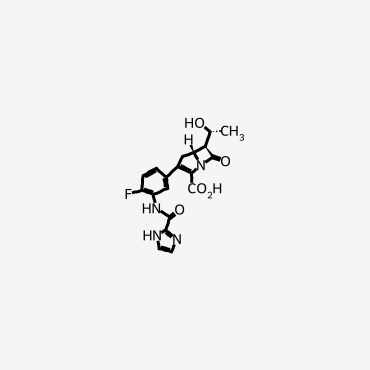 C[C@@H](O)[C@H]1C(=O)N2C(C(=O)O)=C(c3ccc(F)c(NC(=O)c4ncc[nH]4)c3)C[C@H]12